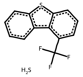 FC(F)(F)c1cccc2sc3ccccc3c12.S